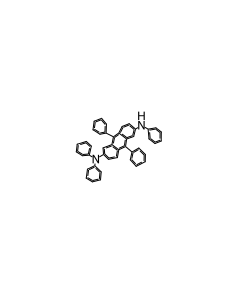 c1ccc(Nc2ccc3c(-c4ccccc4)c4cc(N(c5ccccc5)c5ccccc5)ccc4c(-c4ccccc4)c3c2)cc1